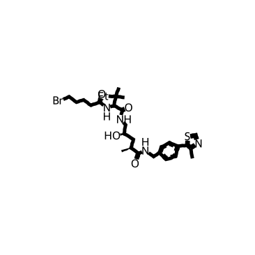 CCC(C)(C)C(NC(=O)CCCCBr)C(=O)NC[C@H](O)C[C@H](C)C(=O)NCc1ccc(-c2scnc2C)cc1